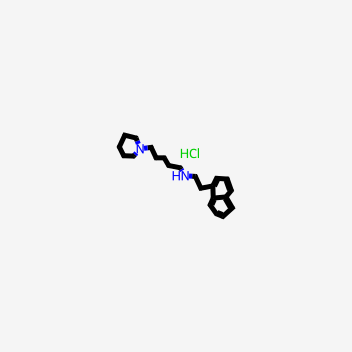 Cl.c1ccc2c(CCNCCCCCN3CCCCC3)cccc2c1